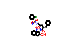 O=C(N[C@H]1c2ccccc2C[C@H]1O)[C@H](Cc1ccccc1)C[C@H](O)CNS(=O)(=O)c1ccccc1F